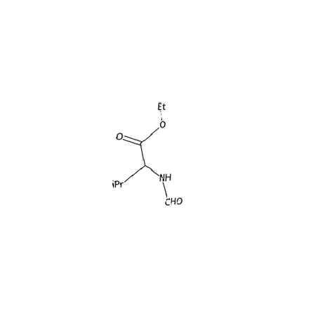 CCOC(=O)C(NC=O)C(C)C